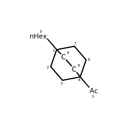 CCCCCCC12CCC(C(C)=O)(CC1)CC2